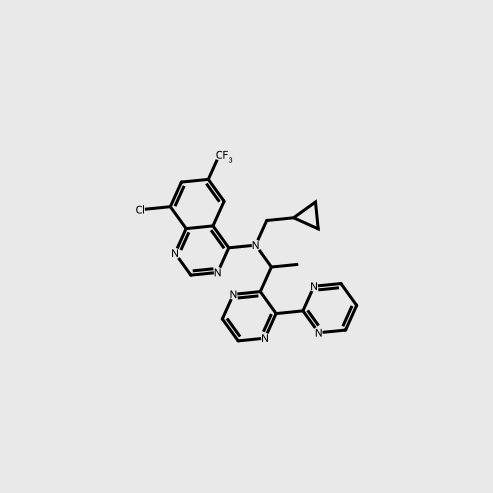 CC(c1nccnc1-c1ncccn1)N(CC1CC1)c1ncnc2c(Cl)cc(C(F)(F)F)cc12